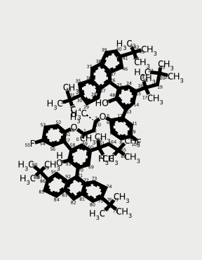 C[C@H](C[C@H](C)Oc1ccc(F)cc1-c1cc(C(C)(C)CC(C)(C)C)cc(-c2c3ccc(C(C)(C)C)cc3cc3ccc(C(C)(C)C)cc23)c1O)Oc1ccc(F)cc1-c1cc(C(C)(C)CC(C)(C)C)cc(-c2c3ccc(C(C)(C)C)cc3cc3ccc(C(C)(C)C)cc23)c1O